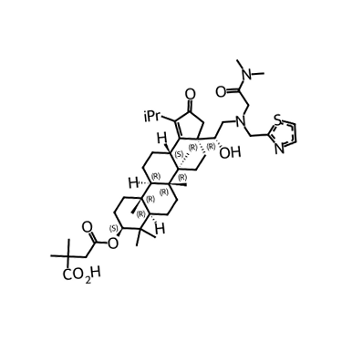 CC(C)C1=C2[C@H]3CC[C@@H]4[C@@]5(C)CC[C@H](OC(=O)CC(C)(C)C(=O)O)C(C)(C)[C@@H]5CC[C@@]4(C)[C@]3(C)CC[C@@]2([C@@H](O)CN(CC(=O)N(C)C)Cc2nccs2)CC1=O